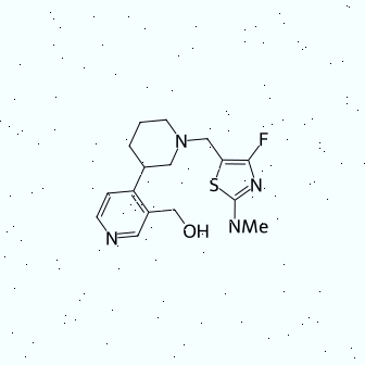 CNc1nc(F)c(CN2CCCC(c3ccncc3CO)C2)s1